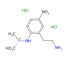 C[C@H](Nc1ccc([N+](=O)[O-])cc1CCN)C(=O)O.Cl.Cl